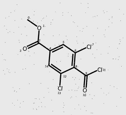 COC(=O)c1cc(Cl)c(C(=O)Cl)c(Cl)c1